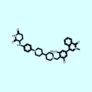 COc1cc(-c2cn(C)c(=O)c3ccccc23)cc(Cl)c1CN1CCC(C2CCN(c3ccc(NC4CCC(=O)NC4=O)cc3)CC2)CC1